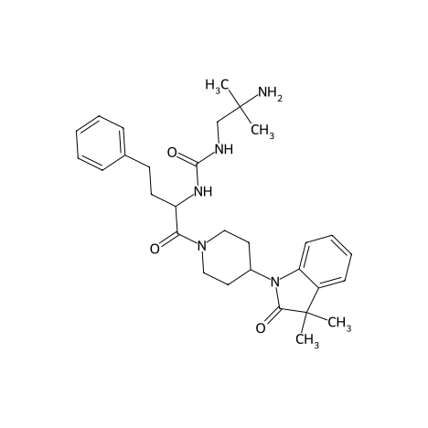 CC(C)(N)CNC(=O)NC(CCc1ccccc1)C(=O)N1CCC(N2C(=O)C(C)(C)c3ccccc32)CC1